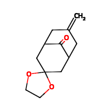 C=C1CC2CC3(CC(C1)C2=O)OCCO3